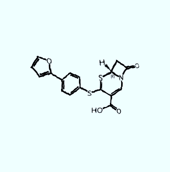 O=C(O)C1=CN2C(=O)C[C@H]2SC1Sc1ccc(-c2ccco2)cc1